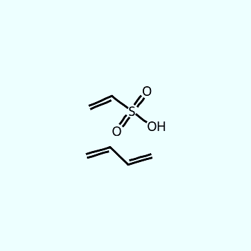 C=CC=C.C=CS(=O)(=O)O